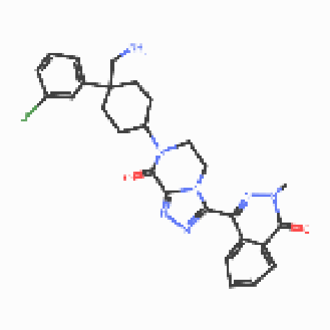 Cn1nc(-c2nnc3n2CCN(C2CCC(CN)(c4cccc(Cl)c4)CC2)C3=O)c2ccccc2c1=O